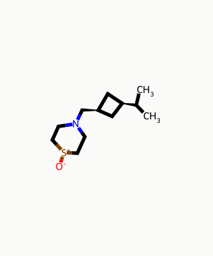 CC(C)[C@H]1C[C@@H](CN2CC[S+]([O-])CC2)C1